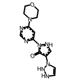 O=c1c(N2C=CNN2)c[nH]n1-c1cc(N2CCOCC2)ncn1